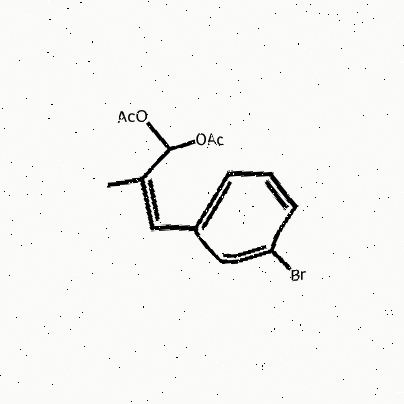 CC(=O)OC(OC(C)=O)C(C)=Cc1cccc(Br)c1